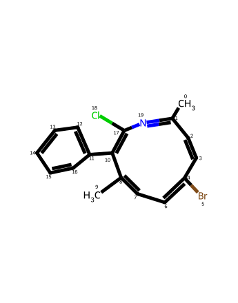 Cc1ccc(Br)ccc(C)c(-c2ccccc2)c(Cl)n1